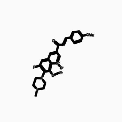 COc1ccc(C=CC(=O)c2cc3cc(F)c(N4CCN(C)CC4)c(OC(C)C)c3[n+]([O-])c2)cc1